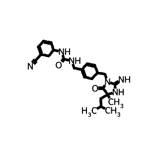 CC(C)CC1(C)NC(=N)N(CC2C=CC(CNC(=O)NC3C=CC=C(C#N)C3)=CC2)C1=O